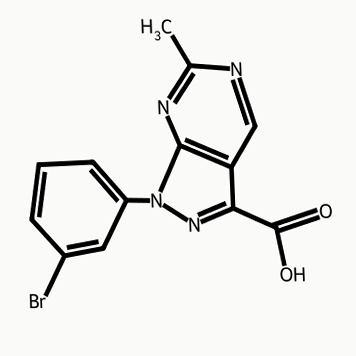 Cc1ncc2c(C(=O)O)nn(-c3cccc(Br)c3)c2n1